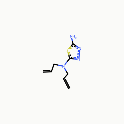 C=CCN(CC=C)c1nnc(N)s1